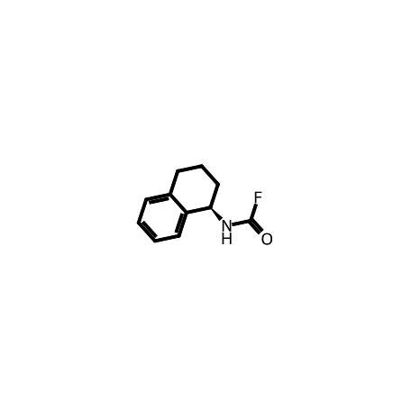 O=C(F)N[C@@H]1CCCc2ccccc21